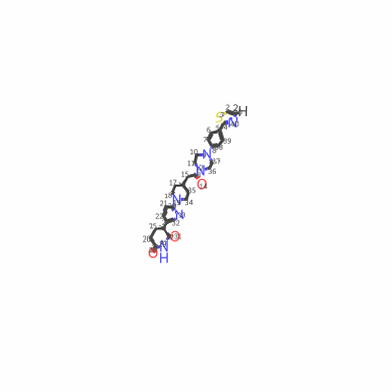 [2H]c1csc(-c2ccc(N3CCN(C(=O)CC4CCN(c5ccc(C6CCC(=O)NC6=O)cn5)CC4)CC3)cc2)n1